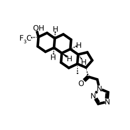 C[C@]12CC[C@H]3[C@@H](CC[C@@H]4C[C@@](O)(C(F)(F)F)CC[C@@H]43)[C@H]1CC[C@@H]2C(=O)Cn1cncn1